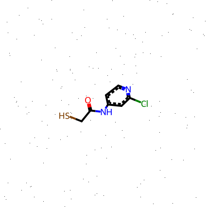 O=C(CS)Nc1ccnc(Cl)c1